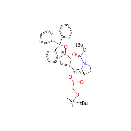 CC(C)(C)OC(=O)N1CCC[C@H]1[C@H](OC(=O)CO[Si](C)(C)C(C)(C)C)C1=CC[C@@H](OC(c2ccccc2)(c2ccccc2)c2ccccc2)C1